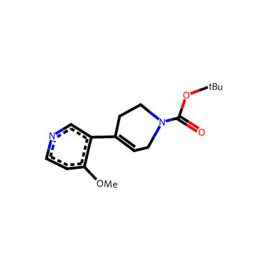 COc1ccncc1C1=CCN(C(=O)OC(C)(C)C)CC1